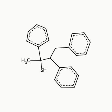 CC(S)(c1ccccc1)C(Cc1ccccc1)c1ccccc1